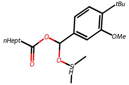 CCCCCCCC(=O)OC(O[SiH](C)C)c1ccc(C(C)(C)C)c(OC)c1